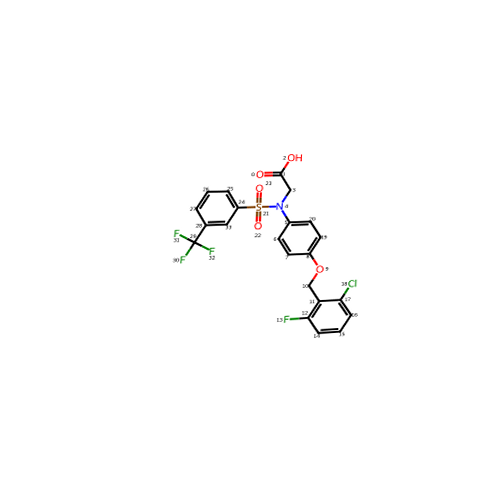 O=C(O)CN(c1ccc(OCc2c(F)cccc2Cl)cc1)S(=O)(=O)c1cccc(C(F)(F)F)c1